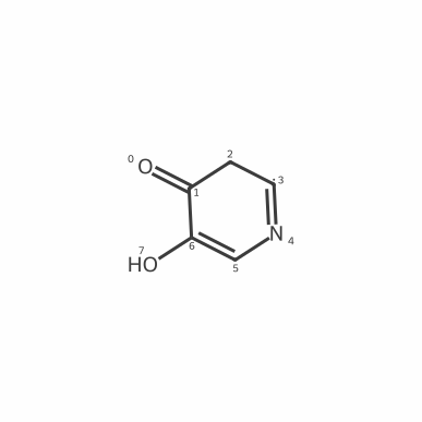 O=C1C[C]=NC=C1O